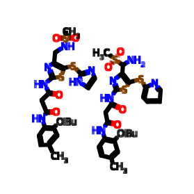 Cc1ccc(NC(=O)CC(=O)Nc2nc(C(N)S(C)(=O)=O)c(Sc3ccccn3)s2)c(OCC(C)C)c1.Cc1ccc(NC(=O)CC(=O)Nc2nc(CNS(C)(=O)=O)c(Sc3ncc[nH]3)s2)c(OCC(C)C)c1